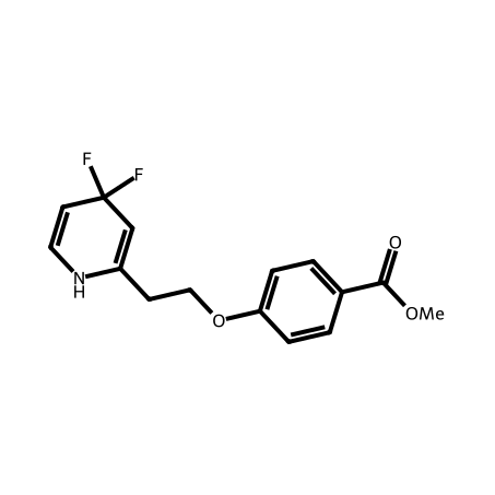 COC(=O)c1ccc(OCCC2=CC(F)(F)C=CN2)cc1